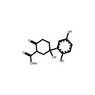 CCCc1ccc(CCC)c(C2(C#N)CCC(=O)C(C(=O)OC)C2)c1